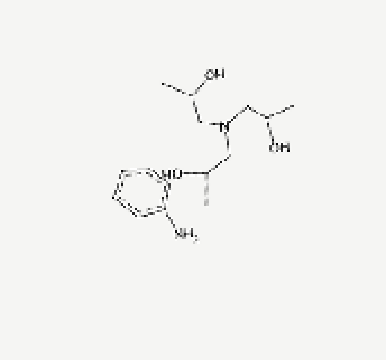 CC(O)CN(CC(C)O)CC(C)O.Nc1ccccc1